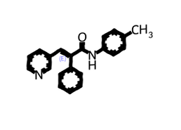 Cc1ccc(NC(=O)/C(=C/c2cccnc2)c2ccccc2)cc1